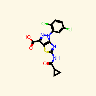 O=C(O)c1nn(-c2cc(Cl)ccc2Cl)c2nc(NC(=O)C3CC3)sc12